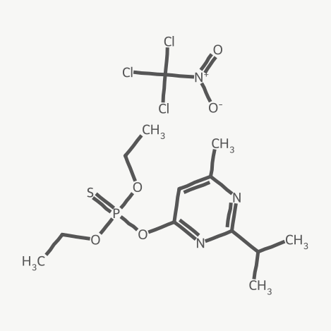 CCOP(=S)(OCC)Oc1cc(C)nc(C(C)C)n1.O=[N+]([O-])C(Cl)(Cl)Cl